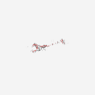 CO/N=C1/C[C@@H]([C@H](N)C[C@@H]2CC[C@H](n3cc(COC(=O)NCCOCCOCCOCCC(=O)NCCOCCOCCC(=O)NCCCCn4nc(-c5ccc6oc(N)nc6c5)c5c(N)ncnc54)nn3)[C@H](OC)C2)OC(=O)[C@@H]2CCCCN2C(=O)C(=O)[C@]2(O)O[C@@H](CC[C@H]2C)C[C@H](OC)/C(C)=C/C=C/C=C/[C@@H](C)C[C@@H](C)C(=O)[C@H](O)[C@H](O)/C(C)=C/[C@H]1C